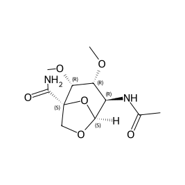 CO[C@@H]1[C@@H](NC(C)=O)[C@H]2OC[C@](C(N)=O)(O2)[C@@H]1OC